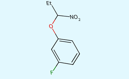 CCC(Oc1cccc(F)c1)[N+](=O)[O-]